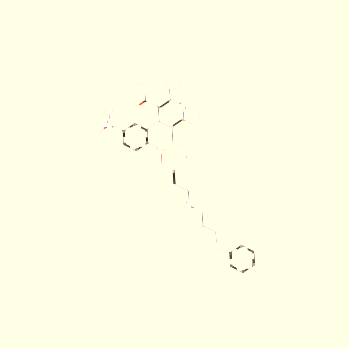 COC(=O)C1=C(C)NC(C)=C(C(=O)OC)C1c1cc([N+](=O)[O-])ccc1OCC=CCNCC(O)COc1ccccc1.Cl